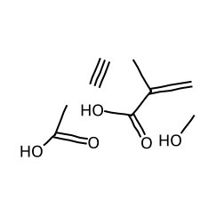 C#C.C=C(C)C(=O)O.CC(=O)O.CO